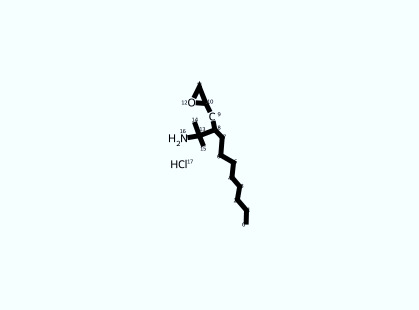 CCCCCCCCC(CC1CO1)C(C)(C)N.Cl